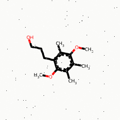 COc1c(C)c(C)c(OC)c(CCCO)c1C